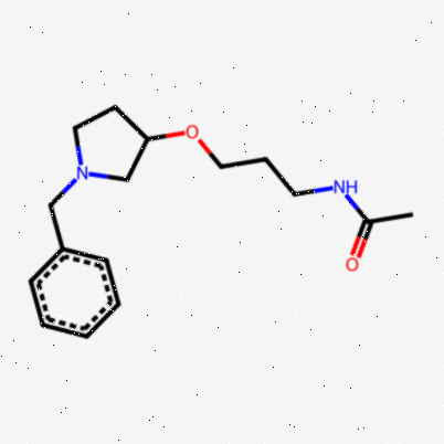 CC(=O)NCCCOC1CCN(Cc2ccccc2)C1